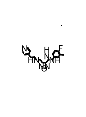 Cc1cc(NC(=N)c2nonc2CNCCc2ccncc2)ccc1F